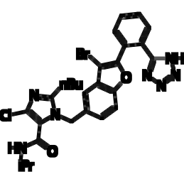 CCCCc1nc(Cl)c(C(=O)NC(C)C)n1Cc1ccc2oc(-c3ccccc3-c3nnn[nH]3)c(Br)c2c1